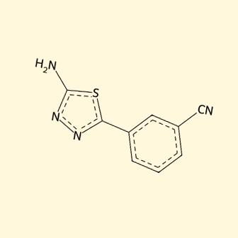 N#Cc1cccc(-c2nnc(N)s2)c1